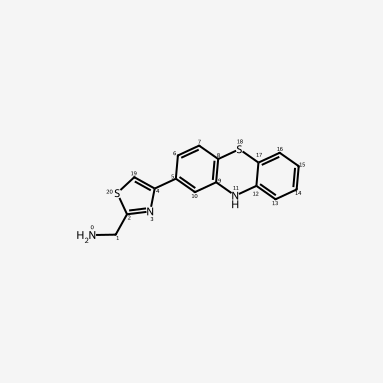 NCc1nc(-c2ccc3c(c2)Nc2ccccc2S3)cs1